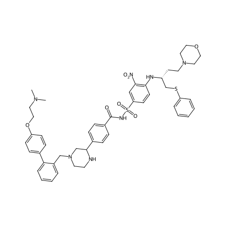 CN(C)CCOc1ccc(-c2ccccc2CN2CCNC(c3ccc(C(=O)NS(=O)(=O)c4ccc(N[C@H](CCN5CCOCC5)CSc5ccccc5)c([N+](=O)[O-])c4)cc3)C2)cc1